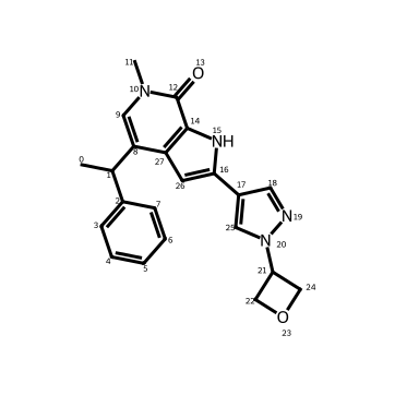 CC(c1ccccc1)c1cn(C)c(=O)c2[nH]c(-c3cnn(C4COC4)c3)cc12